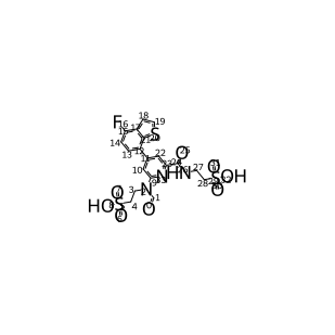 O=CN(CCS(=O)(=O)O)c1cc(-c2ccc(F)c3ccsc23)cc(C(=O)NCCS(=O)(=O)O)n1